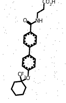 O=C(O)CCNC(=O)c1ccc(-c2ccc(OC3(C(F)(F)F)CCCCC3)cc2)cc1